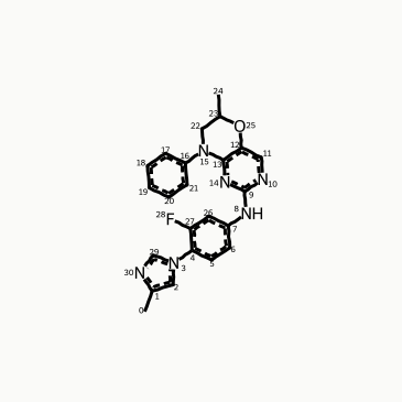 Cc1cn(-c2ccc(Nc3ncc4c(n3)N(c3ccccc3)CC(C)O4)cc2F)cn1